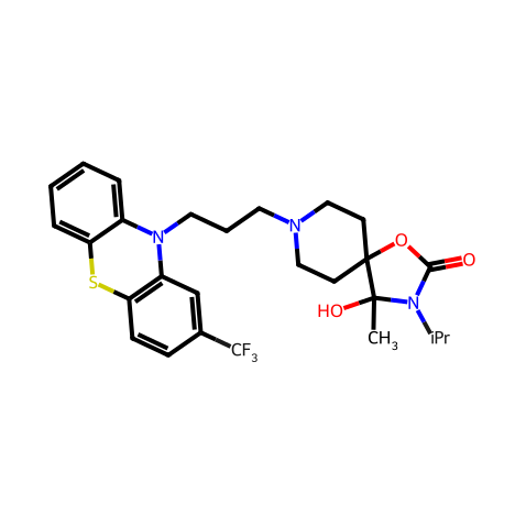 CC(C)N1C(=O)OC2(CCN(CCCN3c4ccccc4Sc4ccc(C(F)(F)F)cc43)CC2)C1(C)O